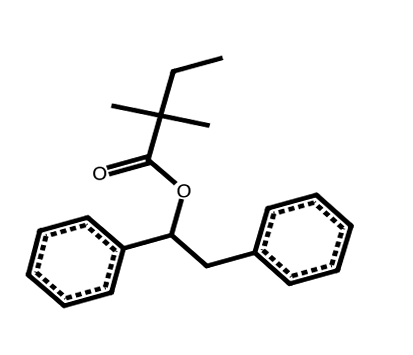 CCC(C)(C)C(=O)OC(Cc1ccccc1)c1ccccc1